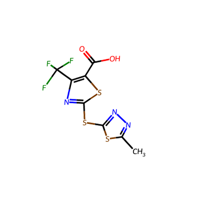 Cc1nnc(Sc2nc(C(F)(F)F)c(C(=O)O)s2)s1